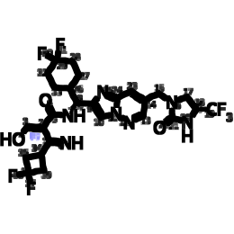 N=C(/C(=C\O)C(=O)N[C@H](c1cn2ncc(CN3C[C@@H](C(F)(F)F)NC3=O)cc2n1)C1CCC(F)(F)CC1)C1CC(F)(F)C1